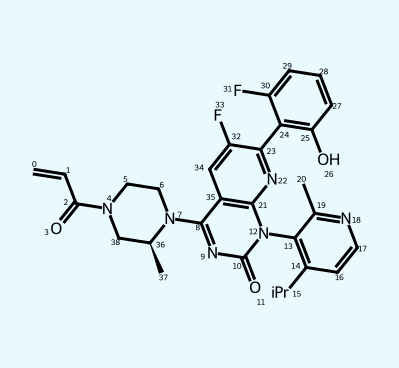 C=CC(=O)N1CCN(c2nc(=O)n(-c3c(C(C)C)ccnc3C)c3nc(-c4c(O)cccc4F)c(F)cc23)[C@@H](C)C1